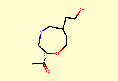 CC(=O)[C@@H]1CNCC(CCO)CCO1